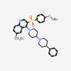 CCCCOc1ccc(S(=O)(=O)c2cnc3ccc(C(=O)OCC)cc3c2N2CCC(N3CCC(c4ccccc4)CC3)CC2)cc1